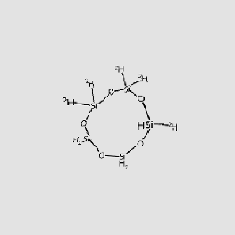 [2H][SiH]1O[SiH2]O[SiH2]O[Si]([2H])([2H])O[Si]([2H])([2H])O1